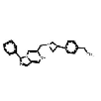 CCc1ccc(C2CN(CC3=CN4C(=CN3)C=NC4c3ccccc3)C2)cc1